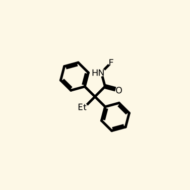 CCC(C(=O)NF)(c1ccccc1)c1ccccc1